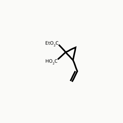 C=CC1CC1(C(=O)O)C(=O)OCC